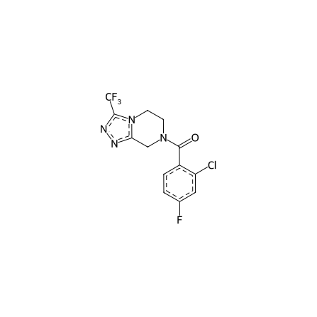 O=C(c1ccc(F)cc1Cl)N1CCn2c(nnc2C(F)(F)F)C1